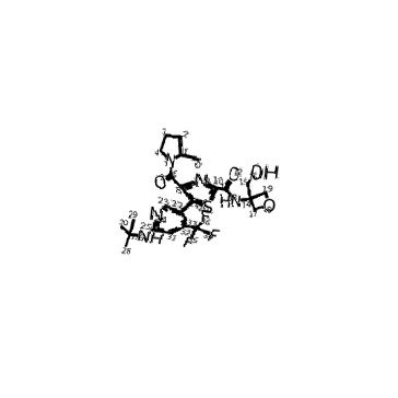 CC1CCCN1C(=O)c1nc(C(=O)NC2(CO)COC2)sc1-c1cnc(NC(C)(C)C)cc1C(F)(F)F